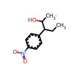 [CH2]C(O)C(CC)c1ccc([N+](=O)[O-])cc1